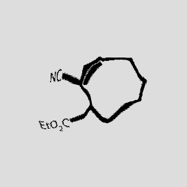 CCOC(=O)C1CCCCC=C1C#N